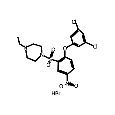 Br.CCN1CCN(S(=O)(=O)c2cc([N+](=O)[O-])ccc2Oc2cc(Cl)cc(Cl)c2)CC1